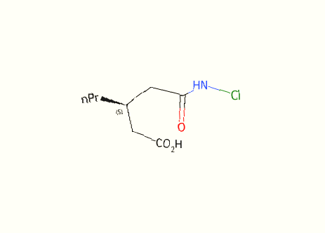 CCC[C@H](CC(=O)O)CC(=O)NCl